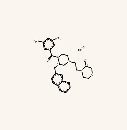 CC[C@H]1COCCN1CCN1CCN(C(=O)c2cc(C(F)(F)F)cc(C(F)(F)F)c2)[C@H](Cc2ccc3ccccc3c2)C1.Cl.Cl